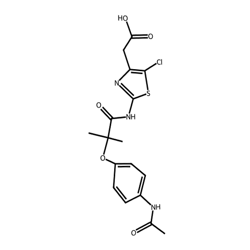 CC(=O)Nc1ccc(OC(C)(C)C(=O)Nc2nc(CC(=O)O)c(Cl)s2)cc1